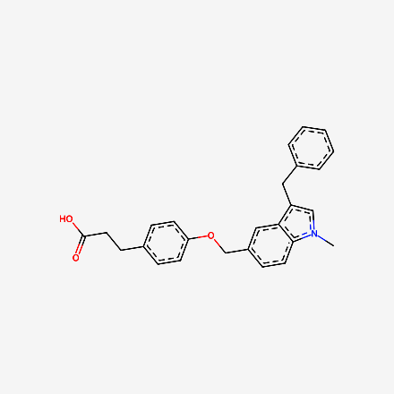 Cn1cc(Cc2ccccc2)c2cc(COc3ccc(CCC(=O)O)cc3)ccc21